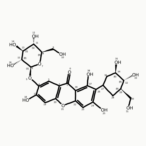 O=c1c2cc(O[C@@H]3O[C@H](CO)[C@@H](O)[C@H](O)[C@H]3O)c(O)cc2oc2cc(O)c(C3C[C@H](CO)[C@@H](O)[C@H](O)C3)c(O)c12